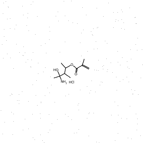 C=C(C)C(=O)OC(C)C(C)C(C)(N)O.Cl